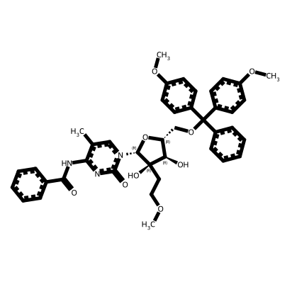 COCC[C@@]1(O)[C@H](O)[C@@H](COC(c2ccccc2)(c2ccc(OC)cc2)c2ccc(OC)cc2)O[C@H]1n1cc(C)c(NC(=O)c2ccccc2)nc1=O